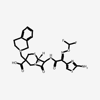 Nc1nc(C(=NOC(F)F)C(=O)NC2C(=O)N3CC(CN4CCc5ccccc5C4)(C(=O)O)CS[C@H]23)cs1